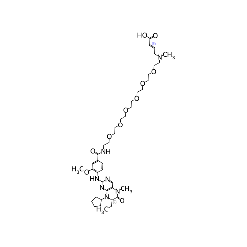 CC[C@@H]1C(=O)N(C)c2cnc(Nc3ccc(C(=O)NCCOCCOCCOCCOCCOCCOCCN(C)C/C=C/C(=O)O)cc3OC)nc2N1C1CCCC1